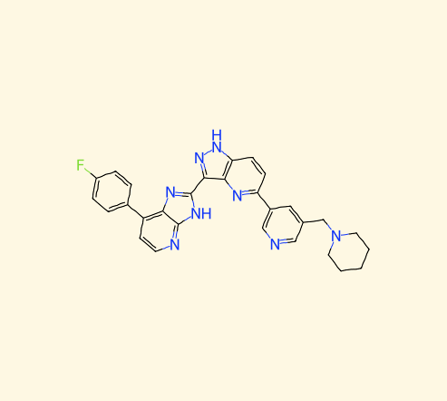 Fc1ccc(-c2ccnc3[nH]c(-c4n[nH]c5ccc(-c6cncc(CN7CCCCC7)c6)nc45)nc23)cc1